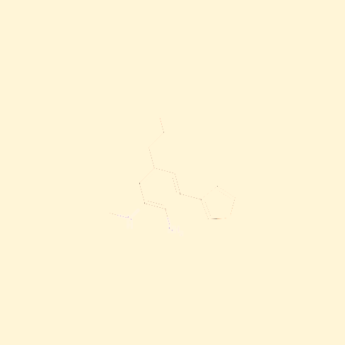 CNc1cc(CCO)cc(-c2ccsc2)c1N